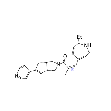 CCC1C=CC(/C=C(/C)C(=O)N2CC3C=C(c4ccncc4)CC3C2)=CCN1